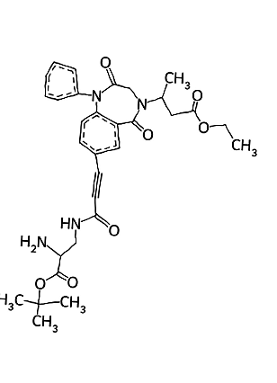 CCOC(=O)CC(C)N1CC(=O)N(c2ccccc2)c2ccc(C#CC(=O)NCC(N)C(=O)OC(C)(C)C)cc2C1=O